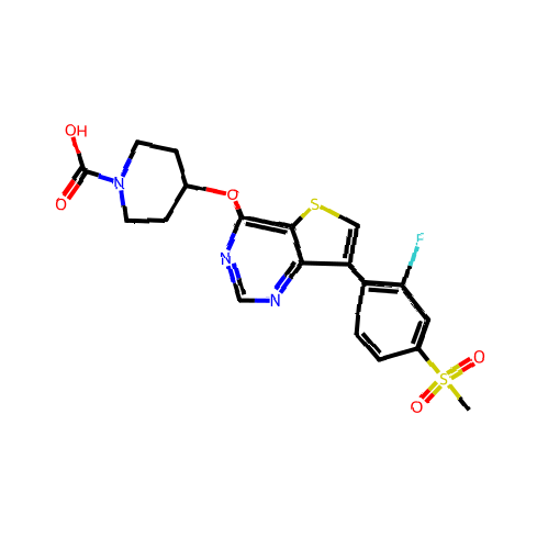 CS(=O)(=O)c1ccc(-c2csc3c(OC4CCN(C(=O)O)CC4)ncnc23)c(F)c1